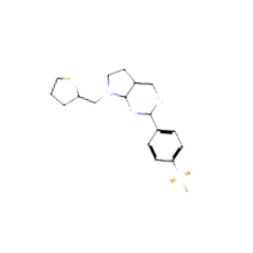 CS(=O)(=O)c1ccc(C2NCC3CCN(CC4CCCS4)C3N2)cc1